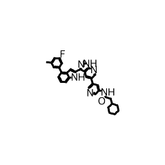 Cc1cc(F)cc(-c2cccc3[nH]c(-c4n[nH]c5ncc(-c6cncc(NC(=O)CC7CCCCC7)c6)cc45)cc23)c1